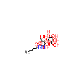 CC(=O)CCCCC(=O)N[C@@H]1OC(CO)[C@@H](O[C@@H]2OC(CO)[C@H](O)C(O)[C@@H]2O)[C@H](O)C1O